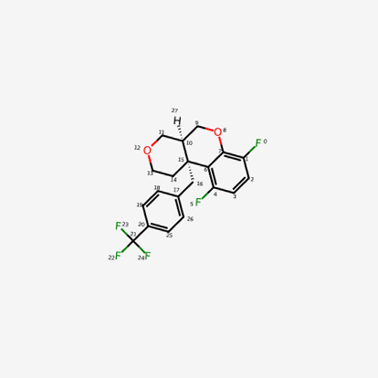 Fc1ccc(F)c2c1OC[C@@H]1COCC[C@]21Cc1ccc(C(F)(F)F)cc1